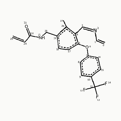 C=C/N=C\c1c(Oc2ccc(C(F)(F)F)cc2)ccc(CNC(=O)C=C)c1C